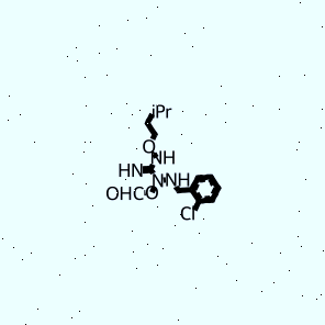 CC(C)CCONC(=N)N(NCc1ccccc1Cl)OC=O